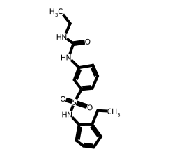 CCNC(=O)Nc1cccc(S(=O)(=O)Nc2ccccc2CC)c1